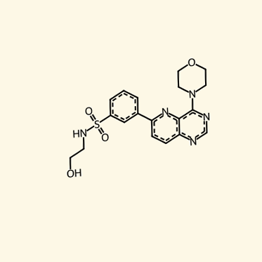 O=S(=O)(NCCO)c1cccc(-c2ccc3ncnc(N4CCOCC4)c3n2)c1